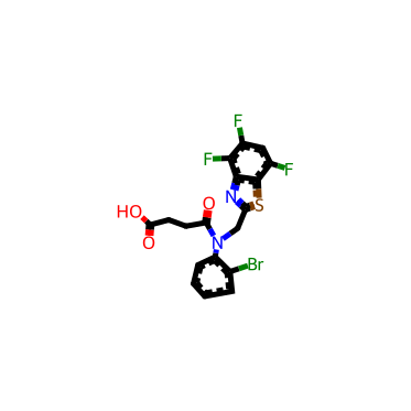 O=C(O)CCC(=O)N(Cc1nc2c(F)c(F)cc(F)c2s1)c1ccccc1Br